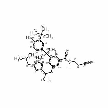 CC(C)Cn1cc(C(C)Cc2cc(C(=O)NCCC#N)cc(C(C)(C)c3ccc(S)c(C(C)(C)C)c3)c2)cn1